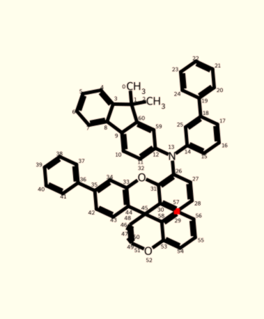 CC1(C)c2ccccc2-c2ccc(N(c3cccc(-c4ccccc4)c3)c3cccc4c3Oc3cc(-c5ccccc5)ccc3C43c4ccccc4Oc4ccccc43)cc21